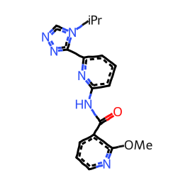 COc1ncccc1C(=O)Nc1cccc(-c2nncn2C(C)C)n1